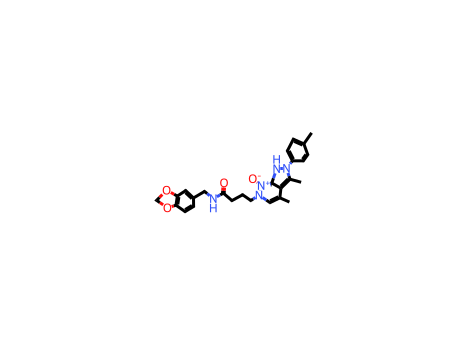 CC1=CN(CCCC(=O)NCc2ccc3c(c2)OCO3)[N+]([O-])=C2NN(c3ccc(C)cc3)C(C)=C12